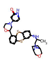 CC(CN1C2CCC1COC2)Nc1ccc2c(c1)Sc1cccc(C3CN(c4cc[nH]c(=O)c4)CCO3)c1S2